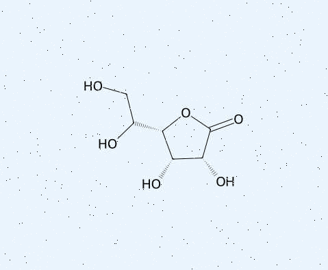 O=C1O[C@@H](C(O)CO)[C@@H](O)[C@H]1O